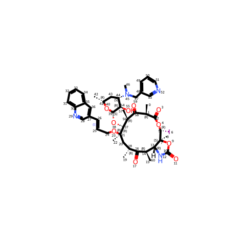 C[C@H]1C(=O)O[C@H](I)[C@@]2(C)OC(=O)N[C@@H]2[C@@H](C)C(=O)[C@H](C)C[C@@](C)(OC/C=C/c2cnc3ccccc3c2)[C@H](O[C@@H]2O[C@H](C)C[C@H](N(C)Cc3cccnc3)[C@H]2O)[C@@H](C)C1=O